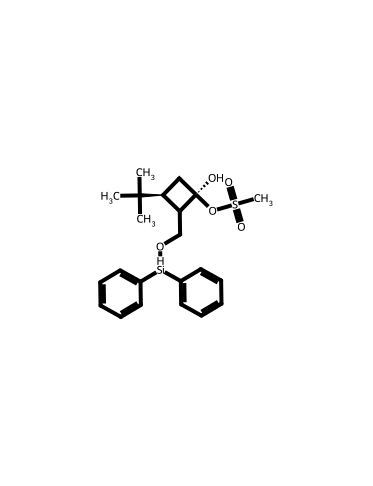 CC(C)(C)[C@H]1C[C@@](O)(OS(C)(=O)=O)C1CO[SiH](c1ccccc1)c1ccccc1